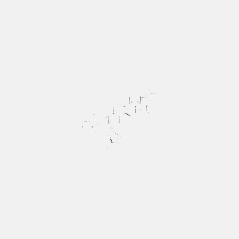 COCC1(C)[C@@H](OCC2(N)CCCC2)[C@H](n2nnc(N)n2)C[C@]2(C)C3=CC[C@@]4(C)[C@H](C(=O)O)[C@@](C)([C@H](C)C(C)C)CC[C@]4(C)[C@H]3CC[C@@H]12